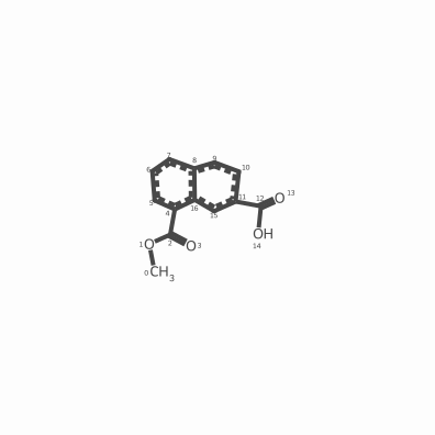 COC(=O)c1cccc2ccc(C(=O)O)cc12